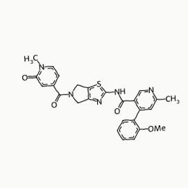 COc1ccccc1-c1cc(C)ncc1C(=O)Nc1nc2c(s1)CN(C(=O)c1ccn(C)c(=O)c1)C2